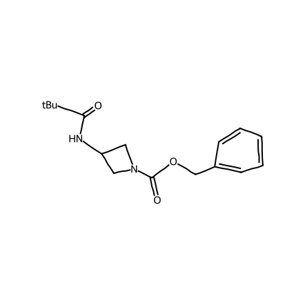 CC(C)(C)C(=O)NC1CN(C(=O)OCc2ccccc2)C1